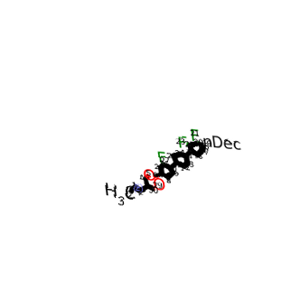 C/C=C/C1COC(c2ccc(-c3ccc(-c4ccc(CCCCCCCCCC)c(F)c4F)cc3)c(F)c2)OC1